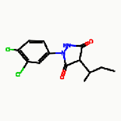 CCC(C)C1C(=O)NN(c2ccc(Cl)c(Cl)c2)C1=O